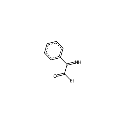 CCC(=O)C(=N)c1c[c]ccc1